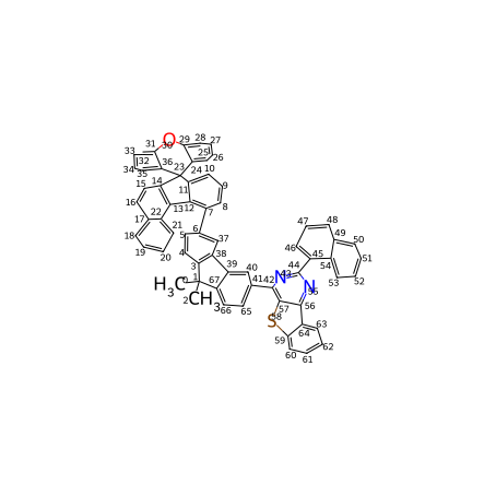 CC1(C)c2ccc(-c3cccc4c3-c3c(ccc5ccccc35)C43c4ccccc4Oc4ccccc43)cc2-c2cc(-c3nc(-c4cccc5ccccc45)nc4c3sc3ccccc34)ccc21